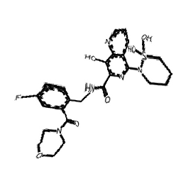 O=C(NCc1ccc(F)cc1C(=O)N1CCOCC1)c1nc(N2CCCCS2(O)O)c2cccnc2c1O